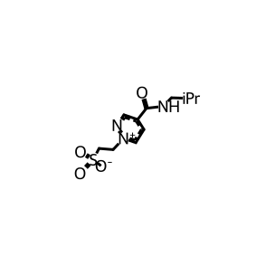 CC(C)CNC(=O)c1cc[n+](CCS(=O)(=O)[O-])nc1